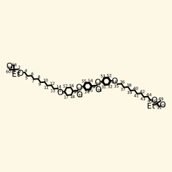 CCC1(COCCCCCCCCCCCOC2CCC(C(=O)Oc3ccc(C(=O)Oc4ccc(OCCCCCCCCCCCOC5(CC)COC5)cc4)cc3)CC2)COC1